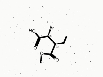 CC[C@@H](C(=O)OC)[C@H](Br)C(=O)O